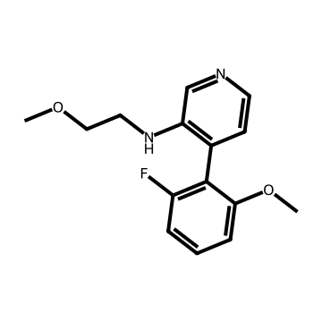 COCCNc1cnccc1-c1c(F)cccc1OC